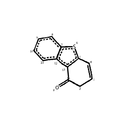 O=C1CC=Cc2sc3ccccc3c21